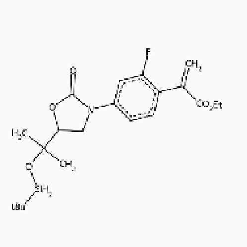 C=C(C(=O)OCC)c1ccc(N2CC(C(C)(C)O[SiH2]C(C)(C)C)OC2=O)cc1F